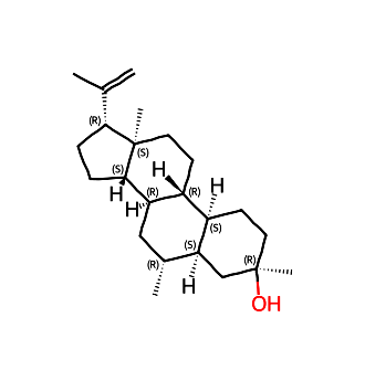 C=C(C)[C@H]1CC[C@H]2[C@@H]3C[C@@H](C)[C@@H]4C[C@](C)(O)CC[C@@H]4[C@H]3CC[C@]12C